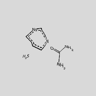 NC(N)=O.S.c1cncnc1